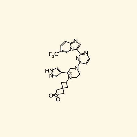 O=S1(=O)CC2(CC(N3CCN(c4ccnc(-c5cnc6ccc(C(F)(F)F)cn56)n4)C[C@@H]3c3cn[nH]c3)C2)C1